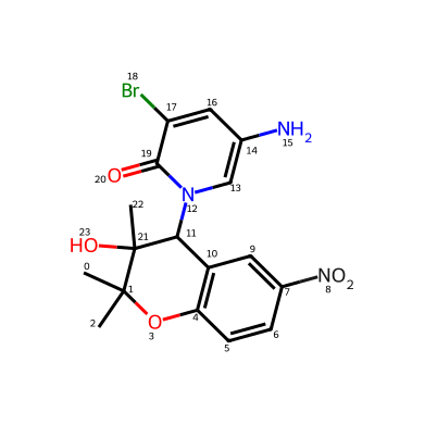 CC1(C)Oc2ccc([N+](=O)[O-])cc2C(n2cc(N)cc(Br)c2=O)C1(C)O